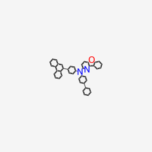 c1ccc(-c2ccc(N(c3ccc(-c4cc5ccccc5c5ccccc45)cc3)c3ccc4oc5ccccc5c4n3)cc2)cc1